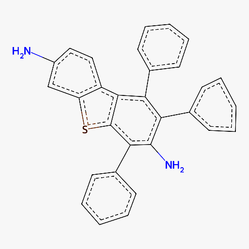 Nc1ccc2c(c1)sc1c(-c3ccccc3)c(N)c(-c3ccccc3)c(-c3ccccc3)c12